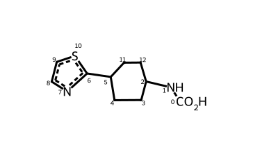 O=C(O)NC1CCC(c2nccs2)CC1